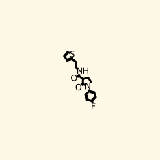 O=C(NCCc1cccs1)C1CCN(c2ccc(F)cc2)C1=O